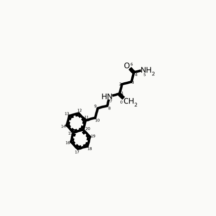 C=C(CCC(N)=O)NCCCc1cccc2ccccc12